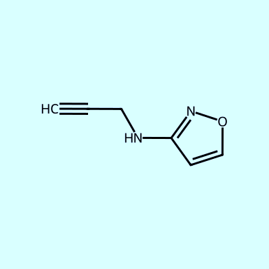 C#CCNc1ccon1